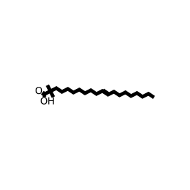 CCCCCCCC/C=C/CCCCCCCCC(C)(C)C(=O)O